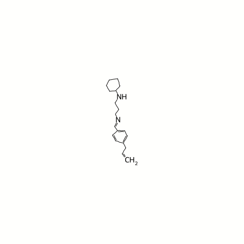 C=CCc1ccc(C=NCCCNC2CCCCC2)cc1